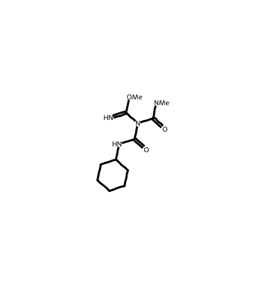 CNC(=O)N(C(=N)OC)C(=O)NC1CCCCC1